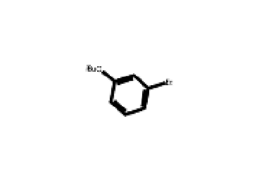 C[CH]c1cccc(OCC(C)C)c1